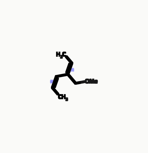 C/C=C\C(=C/C)COC